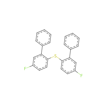 Fc1ccc(Sc2ccc(F)cc2-c2ccccc2)c(-c2ccccc2)c1